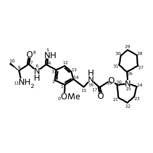 COc1cc(C(=N)NC(=O)[C@H](C)N)ccc1CNC(=O)OC1CCCCN1C1CCCCC1